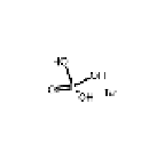 O=P(O)(O)O.[Ta]